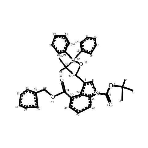 CC(C)(C)OC(=O)n1cc(CO[Si](c2ccccc2)(c2ccccc2)C(C)(C)C)c2c(C(=O)OCc3ccccc3)cccc21